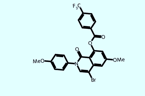 COc1ccc(-n2cc(Br)c3cc(OC)cc(OC(=O)c4ccc(C(F)(F)F)cc4)c3c2=O)cc1